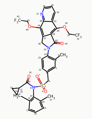 Cc1cc(CS(=O)(=O)N(C(=O)C2CC2)c2c(C)cccc2C)ccc1N1Cc2c(c(OCC(F)(F)F)c3cccnc3c2OCC(F)(F)F)C1=O